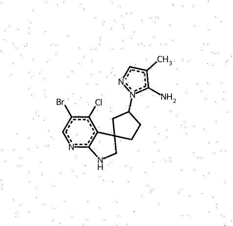 Cc1cnn(C2CCC3(CNc4ncc(Br)c(Cl)c43)C2)c1N